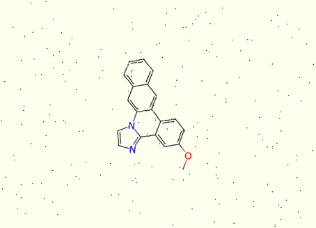 COc1ccc2c3cc4ccccc4cc3n3ccnc3c2c1